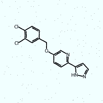 Clc1ccc(COc2ccc(-c3ccn[nH]3)nc2)cc1Cl